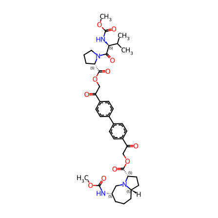 COC(=O)N[C@H]1CCC[C@H]2CC[C@@H](C(=O)OCC(=O)c3ccc(-c4ccc(C(=O)COC(=O)[C@@H]5CCCN5C(=O)[C@@H](NC(=O)OC)C(C)C)cc4)cc3)N2C1